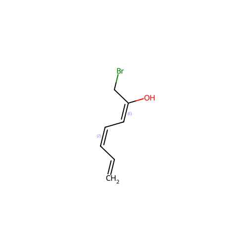 C=C/C=C\C=C(\O)CBr